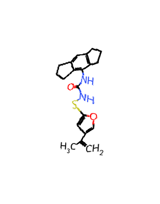 C=C(C)c1coc(SNC(=O)Nc2c3c(cc4c2CCC4)CCC3)c1